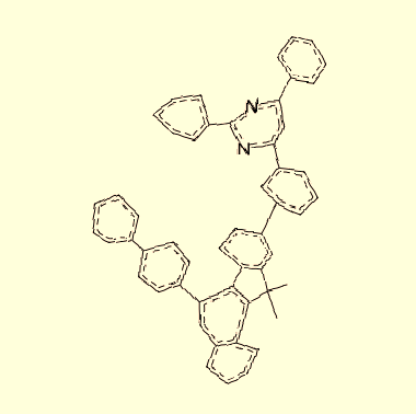 CC1(C)c2cc(-c3cccc(-c4cc(-c5ccccc5)nc(-c5ccccc5)n4)c3)ccc2-c2c(-c3ccc(-c4ccccc4)cc3)cc3ccccc3c21